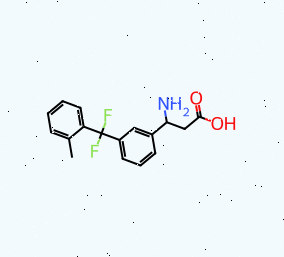 Cc1ccccc1C(F)(F)c1cccc(C(N)CC(=O)O)c1